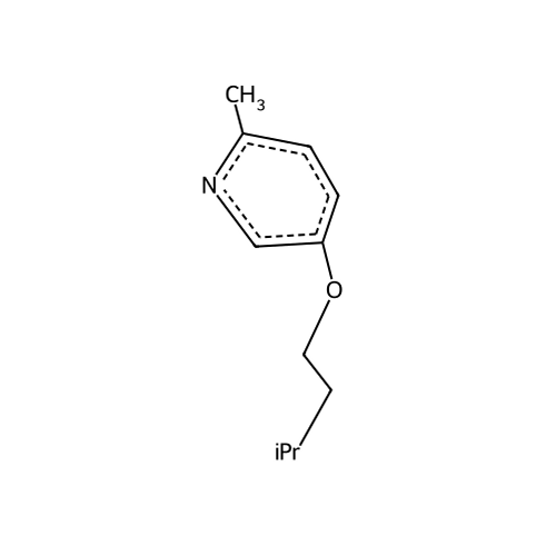 Cc1ccc(OCCC(C)C)cn1